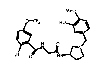 COc1ccc(CN2CCC(NC(=O)CNC(=O)c3cc(OC(F)(F)F)ccc3N)C2)cc1O